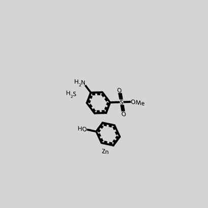 COS(=O)(=O)c1cccc(N)c1.Oc1ccccc1.S.[Zn]